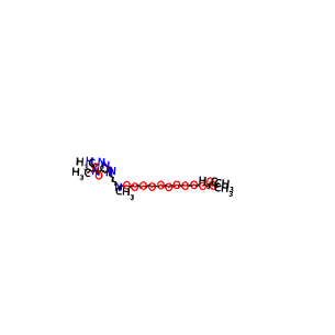 CCCN(OCC)C(=O)C1=Cc2c(cnn2CCCCCN(C)CCOCCOCCOCCOCCOCCOCCOCCOCCOCCOCCC(=O)OC(C)(C)C)N=C(N)C1